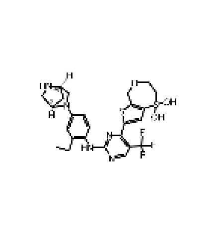 CCc1cc(N2C[C@H]3C[C@@H]2CN3)ccc1Nc1ncc(C(F)(F)F)c(-c2cc3c(s2)COCCS3(O)O)n1